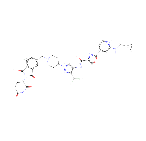 O=C1CCC(N2C(=O)c3cc(CN4CCC(n5cc(NC(=O)c6coc(-c7ccnc(NCC8CC8)c7)n6)c(C(F)F)n5)CC4)cc(F)c3C2=O)C(=O)N1